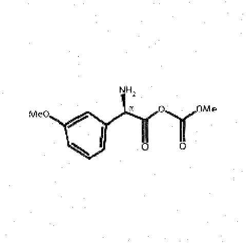 COC(=O)OC(=O)[C@H](N)c1cccc(OC)c1